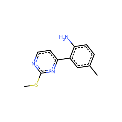 CSc1nccc(-c2cc(C)ccc2N)n1